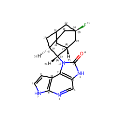 O=c1[nH]c2cnc3[nH]ccc3c2n1[C@H]1[C@@H]2CC3C[C@H]1C[C@](F)(C3)C2